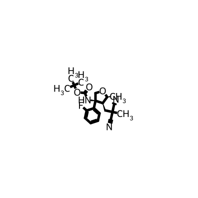 C[C@H]1OC[C@@](NC(=O)OC(C)(C)C)(c2ccccc2F)[C@@H]1CC(C)(C#N)C#N